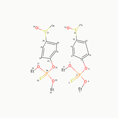 CCOP(=S)(OCC)Oc1ccc([S+](C)[O-])cc1.CCOP(=S)(OCC)Oc1ccc([S+](C)[O-])cc1